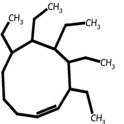 CCC1C=CCCCC(CC)C(CC)C(CC)C1CC